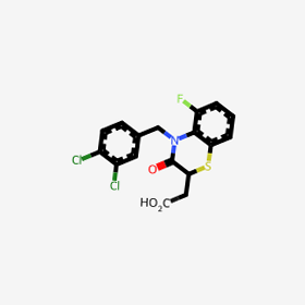 O=C(O)CC1Sc2cccc(F)c2N(Cc2ccc(Cl)c(Cl)c2)C1=O